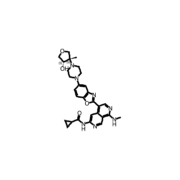 CNc1ncc(-c2nc3cc(N4CCN([C@@]5(C)COC[C@H]5O)CC4)ccc3o2)c2cc(NC(=O)C3CC3)ncc12